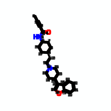 CC#CC(=O)N[C@H]1CC[C@H](CCN2CCC(c3coc4ccccc34)CC2)CC1